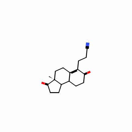 C[C@@]12CCC3=C(CCC#N)C(=O)CCC3C1CCC2=O